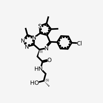 Cc1sc2c(c1C)C(c1ccc(Cl)cc1)=N[C@@H](CC(=O)NC[C@H](C)O)c1nnc(C)n1-2